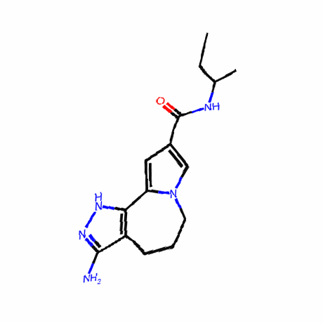 CCC(C)NC(=O)c1cc2n(c1)CCCc1c(N)n[nH]c1-2